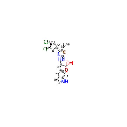 O=C(O)C(CNc1nc(-c2ccc(Cl)c(Cl)c2)c(C2CC2)s1)Cc1ccc2[nH]ccc2c1